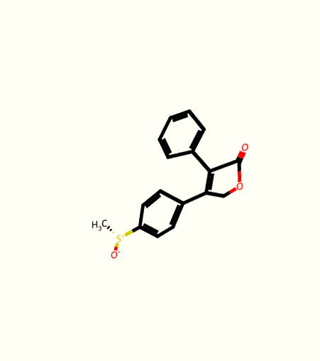 C[S@@+]([O-])c1ccc(C2=C(c3ccccc3)C(=O)OC2)cc1